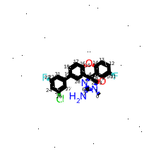 CN1C(=O)C2(N=C1N)c1cc(F)ccc1Oc1ccc(-c3cc(F)cc(Cl)c3)cc12